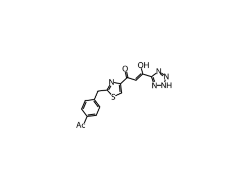 CC(=O)c1ccc(Cc2nc(C(=O)C=C(O)c3nn[nH]n3)cs2)cc1